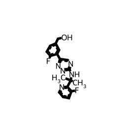 CC(C)(Nc1ncc(-c2cc(CO)ccc2F)nn1)c1ncccc1F